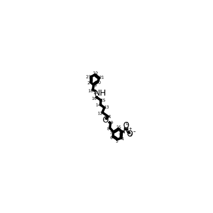 O=[N+]([O-])c1cccc(CCOCCCCCCNCc2ccccc2)c1